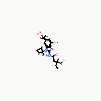 CCC(C)(CF)CC(=O)Nc1nc2c(F)cc(C(C)(C)O)cc2n1C1(C)CCC1